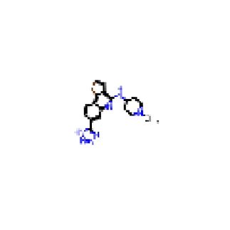 CN1CCC(Nc2nc3cc(-c4nnn[nH]4)ccc3c3sccc23)CC1